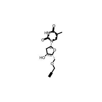 C#CCOC[C@H]1O[C@@H](n2cc(C)c(=O)[nH]c2=O)C[C@@H]1O